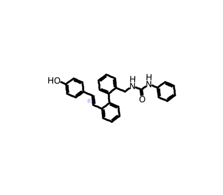 O=C(NCc1ccccc1-c1ccccc1/C=C/c1ccc(O)cc1)Nc1ccccc1